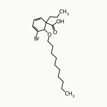 CCCCCCCCCCOC1C(Br)=CC=CC1(CCC)C(=O)O